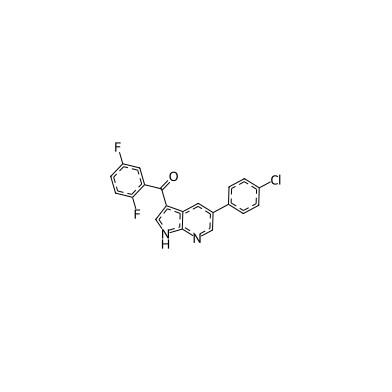 O=C(c1cc(F)ccc1F)c1c[nH]c2ncc(-c3ccc(Cl)cc3)cc12